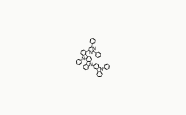 c1ccc(-c2cc(-c3cccc4c3c3ccc5c(c6ccccc6n5-c5ccc6c(c5)c5ccccc5n6-c5ccccc5)c3n4-c3ccccc3)nc(-c3ccccc3)n2)cc1